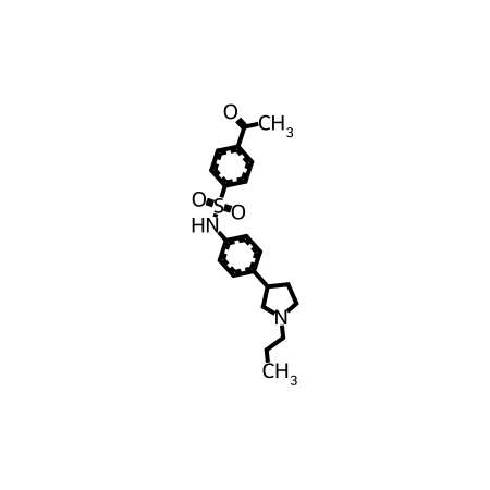 CCCN1CCC(c2ccc(NS(=O)(=O)c3ccc(C(C)=O)cc3)cc2)C1